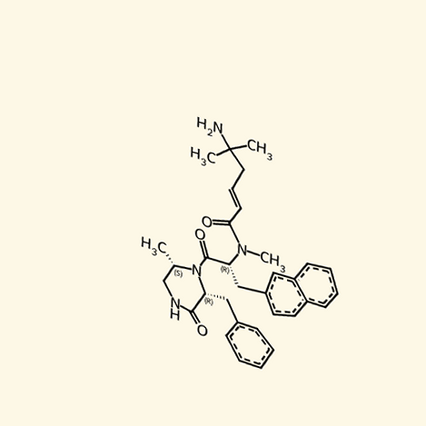 C[C@H]1CNC(=O)[C@@H](Cc2ccccc2)N1C(=O)[C@@H](Cc1ccc2ccccc2c1)N(C)C(=O)C=CCC(C)(C)N